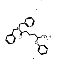 O=C(O)C(CCCC(=O)N(Cc1ccccc1)Cc1ccccc1)Oc1ccccc1